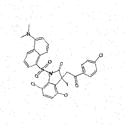 CN(C)c1cccc2c(S(=O)(=O)N3C(=O)C(I)(CC(=O)c4ccc(Cl)cc4)c4c(Cl)ccc(Cl)c43)cccc12